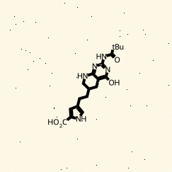 CC(C)(C)C(=O)Nc1nc(O)c2c(n1)NCC(CCc1c[nH]c(C(=O)O)c1)C2